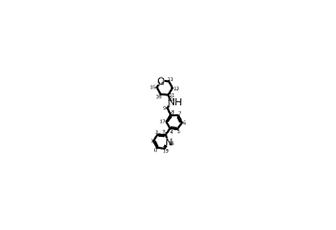 c1ccc(-c2cccc(CNC3CCOCC3)c2)nc1